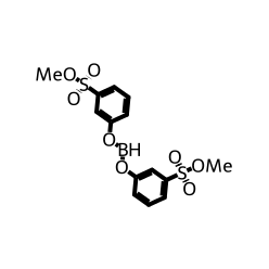 COS(=O)(=O)c1cccc(OBOc2cccc(S(=O)(=O)OC)c2)c1